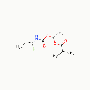 [CH2]CC(F)NC(=O)OC(C)OC(=O)C(C)C